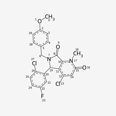 COc1ccc(CN2C(=O)c3c(c(Cl)cc(=O)n3C)C2c2cc(F)ccc2Cl)cc1